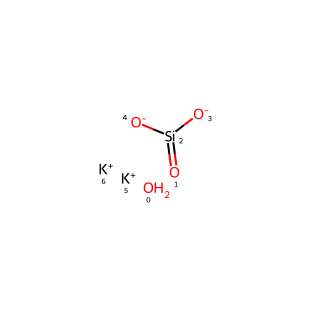 O.O=[Si]([O-])[O-].[K+].[K+]